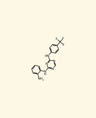 Nc1ccccc1Nc1ncnc(Nc2ccc(C(F)(F)F)cc2)n1